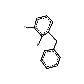 Fc1cccc([CH]c2ccccc2)c1F